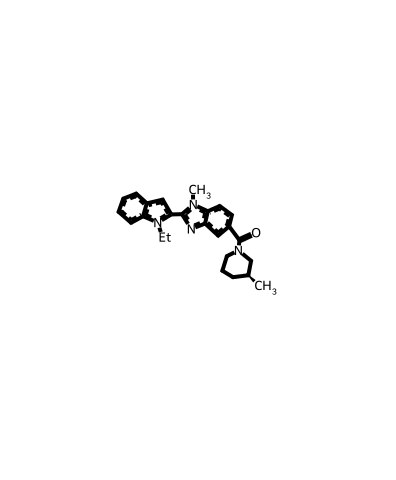 CCn1c(-c2nc3cc(C(=O)N4CCC[C@H](C)C4)ccc3n2C)cc2ccccc21